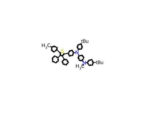 Cc1ccc(-c2sc(-c3ccc(N(c4ccc(N(C)c5ccc(C(C)(C)C)cc5)cc4)c4ccc(C(C)(C)C)cc4)cc3)c(-c3ccccc3)c2-c2ccccc2)cc1